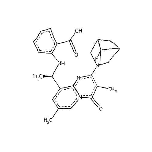 Cc1cc([C@@H](C)Nc2ccccc2C(=O)O)c2nc(N3CC4CC(C3)C4(F)F)c(C)c(=O)n2c1